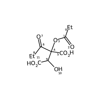 CCC(=O)OC(C(=O)O)(C(=O)CC)C(O)C(=O)O